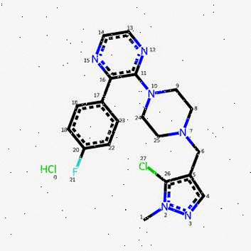 Cl.Cn1ncc(CN2CCN(c3nccnc3-c3ccc(F)cc3)CC2)c1Cl